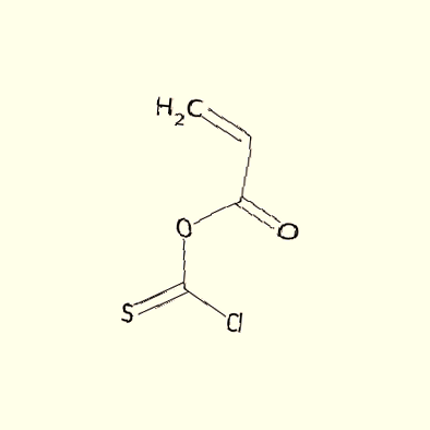 C=CC(=O)OC(=S)Cl